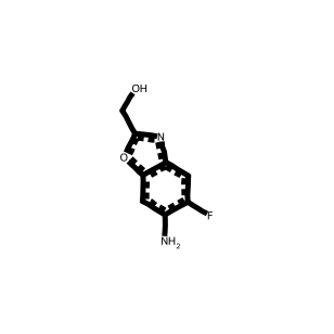 Nc1cc2oc(CO)nc2cc1F